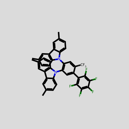 Cc1ccc2c(c1)c1cc(C)ccc1n2-c1cc(-c2c(F)c(F)c(F)c(F)c2F)c(C(F)(F)F)cc1-n1c2ccc(C)cc2c2cc(C)ccc21